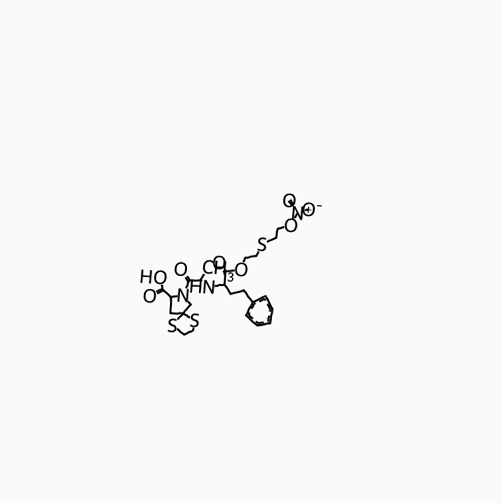 CC(NC(CCc1ccccc1)C(=O)OCCSCCO[N+](=O)[O-])C(=O)N1CC2(CC1C(=O)O)SCCS2